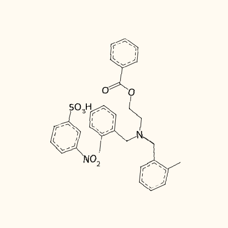 Cc1ccccc1CN(CCOC(=O)c1ccccc1)Cc1ccccc1C.O=[N+]([O-])c1cccc(S(=O)(=O)O)c1